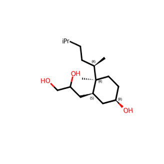 CC(C)CC[C@@H](C)[C@@]1(C)CC[C@@H](O)C[C@H]1CC(O)CO